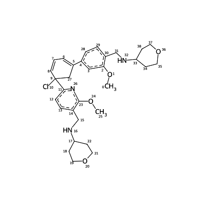 COc1cc(C2=CC=CC(Cl)(c3ccc(CNC4CCOCC4)c(OC)n3)C2)ccc1CNC1CCOCC1